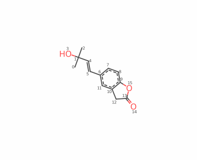 CC(C)(O)/C=C/c1ccc2c(c1)CC(=O)O2